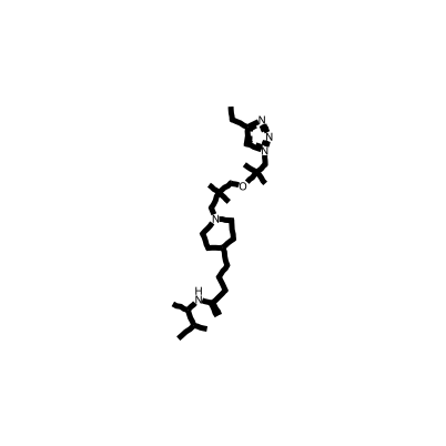 C=C(CCCC1CCN(CC(C)(C)COC(C)(C)Cn2cc(CC)nn2)CC1)NC(C)C(C)C